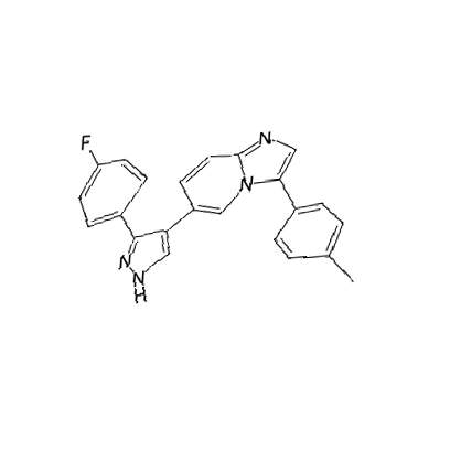 Cc1ccc(-c2cnc3ccc(-c4c[nH]nc4-c4ccc(F)cc4)cn23)cc1